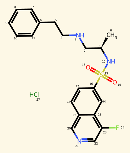 C[C@H](CNCCc1ccccc1)NS(=O)(=O)c1ccc2cncc(F)c2c1.Cl